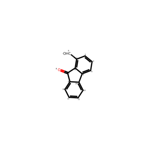 O=[C]c1cccc2c1C(=O)c1ccccc1-2